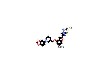 COc1cc(OCC2CCCN(c3ccc4c(c3)OCO4)C2)c2cc(-c3cn4c(n3)SC(OC)N4)oc2c1